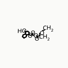 C=CCOCC(=C)C(=O)OCC(=O)Oc1ccc(O)c2ccccc12